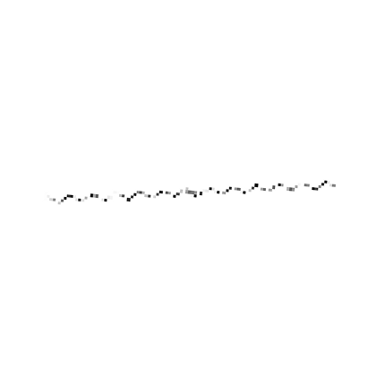 ICCCCCCCCCCCC=CCCCCCCCCCCCI